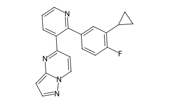 Fc1ccc(-c2ncccc2-c2ccn3nccc3n2)cc1C1CC1